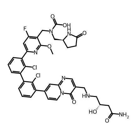 COc1nc(-c2cccc(-c3cccc(-c4ccn5c(=O)c(CNC[C@@H](O)CC(N)=O)cnc5c4)c3Cl)c2Cl)cc(F)c1CN(C[C@@H]1CCC(=O)N1)C(=O)O